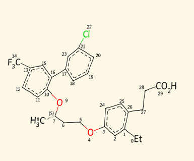 CCc1cc(OCC[C@H](C)Oc2ccc(C(F)(F)F)cc2-c2cccc(Cl)c2)ccc1CCC(=O)O